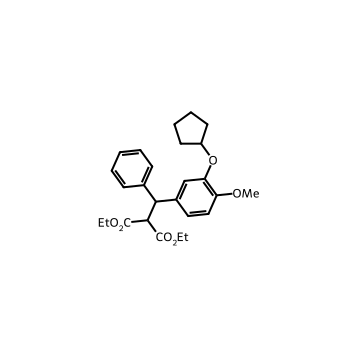 CCOC(=O)C(C(=O)OCC)C(c1ccccc1)c1ccc(OC)c(OC2CCCC2)c1